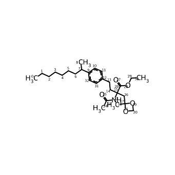 CCCCCCCC(C)c1ccc(CCC(CC2(C)OCO2)(NC(C)=O)C(=O)OCC)cc1